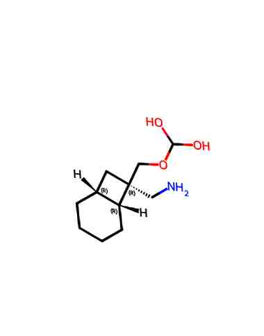 NC[C@@]1(COC(O)O)C[C@H]2CCCC[C@H]21